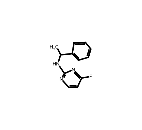 CC(Nc1nccc(F)n1)c1ccccc1